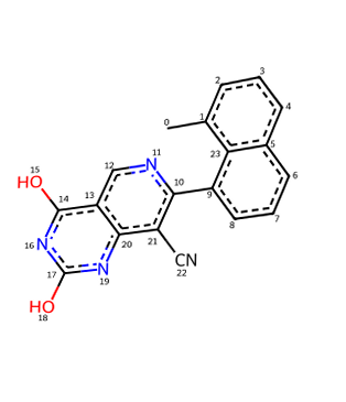 Cc1cccc2cccc(-c3ncc4c(O)nc(O)nc4c3C#N)c12